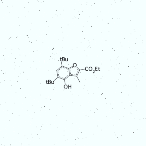 CCOC(=O)c1oc2c(C(C)(C)C)cc(C(C)(C)C)c(O)c2c1C